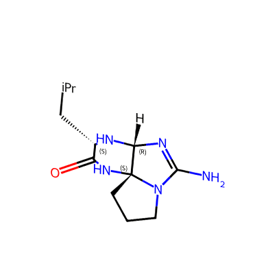 CC(C)C[C@@H]1N[C@@H]2N=C(N)N3CCC[C@@]23NC1=O